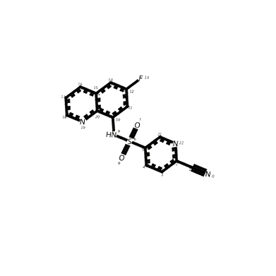 N#Cc1ccc(S(=O)(=O)Nc2cc(F)cc3cccnc23)cn1